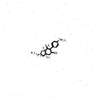 C=C1C(c2ccc(OC)cc2)=C(S)C[C@@]2(C)C[C@@H](OC)C[C@H]12